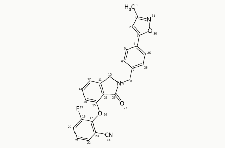 Cc1cc(-c2ccc(CN3Cc4cccc(Oc5c(F)cccc5C#N)c4C3=O)cc2)on1